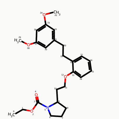 CCOC(=O)N1CCCC1CCOc1ccccc1CCc1cc(OC)cc(OC)c1